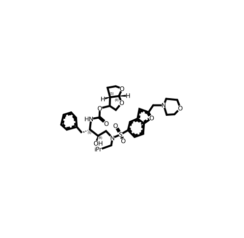 CC(C)CN(C[C@@H](O)[C@H](Cc1ccccc1)NC(=O)OC1CO[C@H]2OCC[C@@H]12)S(=O)(=O)c1ccc2oc(CN3CCOCC3)cc2c1